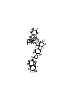 O=C(CC1(c2ccc(OCc3ccc4ccccc4n3)cc2)CCCC1)NS(=O)(=O)Cc1ccccc1